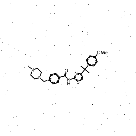 COc1ccc(C(C)(C)c2csc(NC(=O)c3ccc(CN4CCN(C)CC4)cc3)n2)cc1